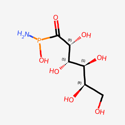 NP(O)C(=O)[C@H](O)[C@@H](O)[C@@H](O)[C@H](O)CO